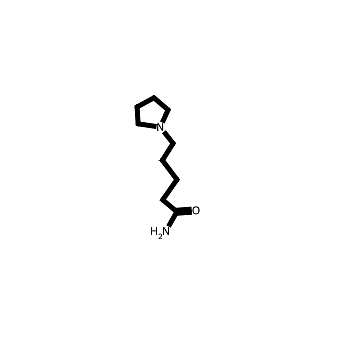 NC(=O)CC[CH]CN1CCCC1